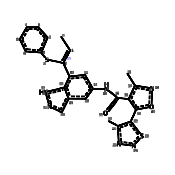 C/C=C(\Sc1ccccc1)c1cc(NC(=O)c2c(C)noc2-c2snnc2C)cc2cn[nH]c12